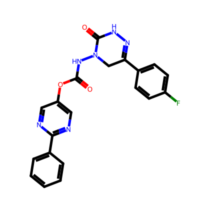 O=C(NN1CC(c2ccc(F)cc2)=NNC1=O)Oc1cnc(-c2ccccc2)nc1